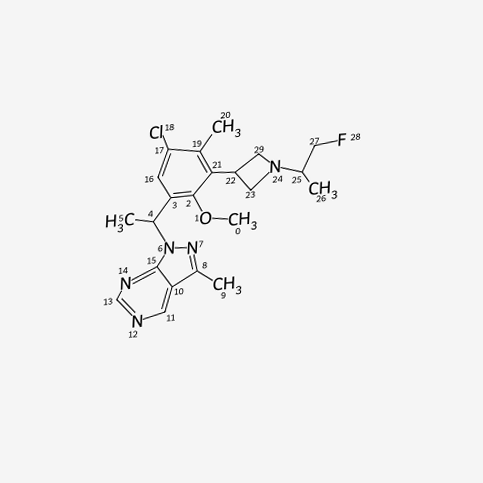 COc1c(C(C)n2nc(C)c3cncnc32)cc(Cl)c(C)c1C1CN(C(C)CF)C1